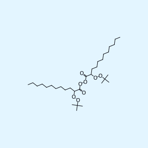 CCCCCCCCCCC(OOC(C)(C)C)C(=O)OOC(=O)C(CCCCCCCCCC)OOC(C)(C)C